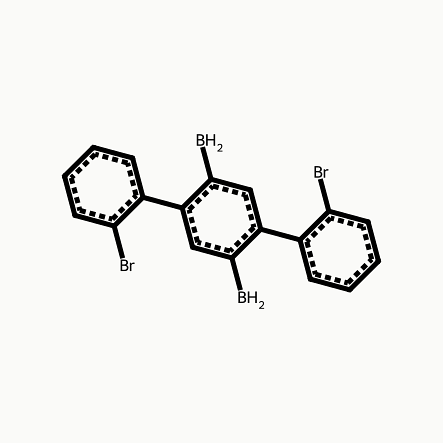 Bc1cc(-c2ccccc2Br)c(B)cc1-c1ccccc1Br